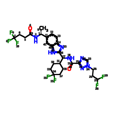 C[C@@H](NC(=O)CCC(F)(F)F)c1ccc2nc([C@@H](NC(=O)c3ncn(CCC(F)F)n3)C3CCC(F)(F)CC3)[nH]c2c1